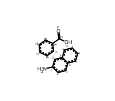 Nc1ccc2ccccc2c1.O=C(O)c1ccccc1